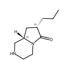 CCC[C@H]1C[C@H]2CNCCN2C1=O